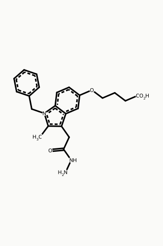 Cc1c(CC(=O)NN)c2cc(OCCCC(=O)O)ccc2n1Cc1ccccc1